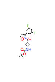 CC(C)(C)OC(=O)N[C@H]1C[C@@H](C(=O)N2OCC[C@H]2c2cc(F)cc(F)c2)C1